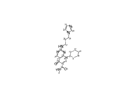 CNC(=O)c1cn(C2CCCCC2)c2nc(NCCCn3ccnc3)ncc2c1=O